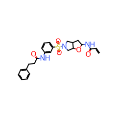 C=CC(=O)NC1CC2CN(S(=O)(=O)c3cccc(NC(=O)CCc4ccccc4)c3)CC2O1